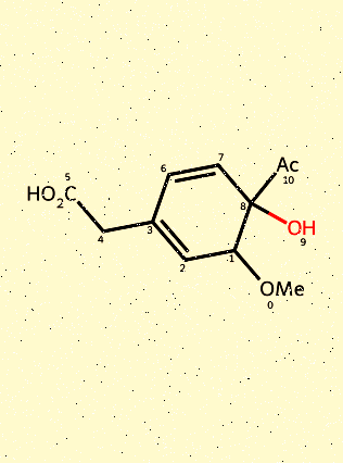 COC1C=C(CC(=O)O)C=CC1(O)C(C)=O